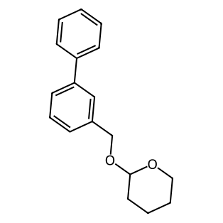 c1ccc(-c2cccc(COC3CCCCO3)c2)cc1